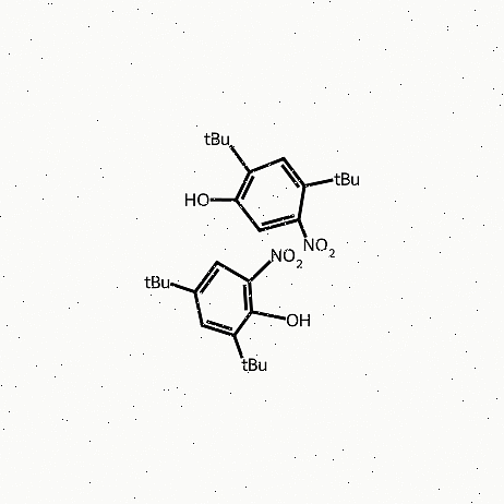 CC(C)(C)c1cc(C(C)(C)C)c([N+](=O)[O-])cc1O.CC(C)(C)c1cc([N+](=O)[O-])c(O)c(C(C)(C)C)c1